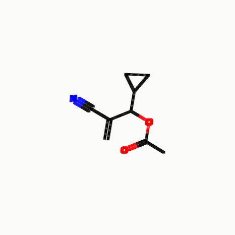 C=C(C#N)C(OC(C)=O)C1CC1